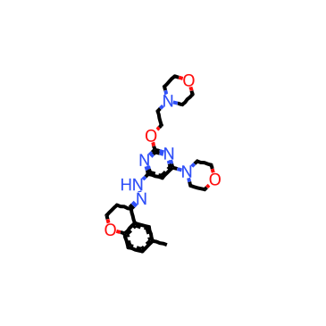 Cc1ccc2c(c1)C(=NNc1cc(N3CCOCC3)nc(OCCN3CCOCC3)n1)CCO2